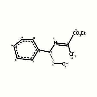 CCOC(=O)/C(=N/[C@H](CO)c1ccccc1)C(F)(F)F